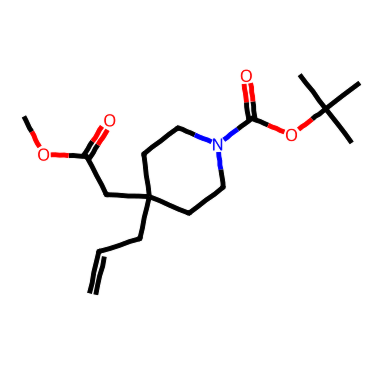 C=CCC1(CC(=O)OC)CCN(C(=O)OC(C)(C)C)CC1